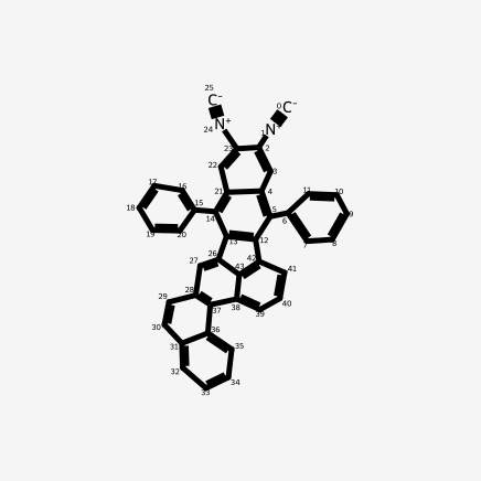 [C-]#[N+]c1cc2c(-c3ccccc3)c3c(c(-c4ccccc4)c2cc1[N+]#[C-])-c1cc2ccc4ccccc4c2c2cccc-3c12